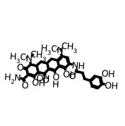 CN(C)c1cc(NC(=O)CCc2ccc(O)c(O)c2)c(O)c2c1CC1CC3C(N(C)C)C(=O)C(C(N)=O)=C(O)C3(O)C(=O)C1=C2O